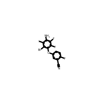 N#Cc1cc(Oc2c(F)c(F)c(N)c(I)c2Br)ccc1F